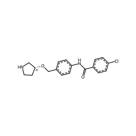 O=C(Nc1ccc(CO[C@@H]2CCNC2)cc1)c1ccc(Cl)cc1